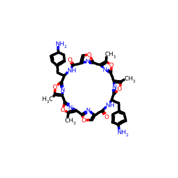 Cc1oc2nc1-c1nc(co1)C(=O)NC(Cc1ccc(N)cc1)c1nc(c(C)o1)-c1nc(c(C)o1)-c1nc(co1)C(=O)NC(CC1=CCC(N)C=C1)c1nc-2c(C)o1